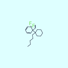 C=CC1(C2(CCCCC)CCCCC2)C=CC=CC1(F)F